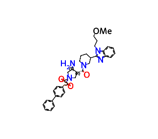 COCCCn1c(C2CCCN(C(=O)[C@@H]3CN(S(=O)(=O)c4ccc(-c5ccccc5)cc4)C[C@H]3N)C2)nc2ccccc21